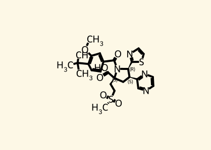 COc1cc(C(=O)N2[C@@H](c3nccs3)[C@@H](c3cnccn3)C[C@]2(CCS(C)(=O)=O)C(=O)O)ccc1C(C)(C)C